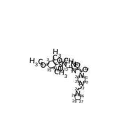 COc1cc(C)c(S(=O)(=O)N(C)Cc2noc(C(=O)N3CCN(CCN4CCCC4)CC3)n2)c(C)c1